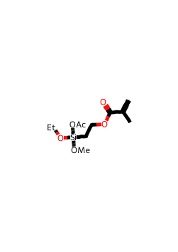 C=C(C)C(=O)OCC[Si](OC)(OCC)OC(C)=O